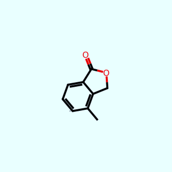 Cc1[c]ccc2c1COC2=O